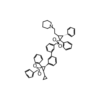 O=S(=O)(c1cccc(-c2cccc([C@H]3C(C4CC4)C3(c3ccccc3)S(=O)(=O)c3ccccc3)c2)c1)C1(c2ccccc2)C(CCN2CCCCC2)[C@@H]1c1ccccc1